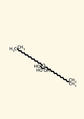 CC(C)CCCCCCCCCCCCCCCOCCCCCCCCCCCCCCCC(C)C.OCC(O)CO